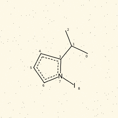 CC(C)c1cccn1I